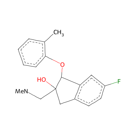 CNCC1(O)Cc2ccc(F)cc2C1Oc1ccccc1C